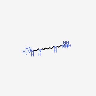 CNC(=N)NCCCNCCCCCCCNCCCNC(=N)N